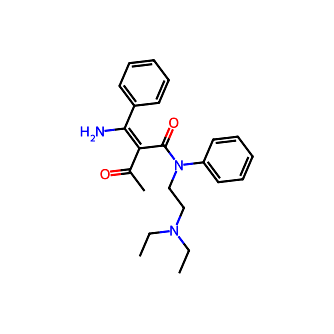 CCN(CC)CCN(C(=O)C(C(C)=O)=C(N)c1ccccc1)c1ccccc1